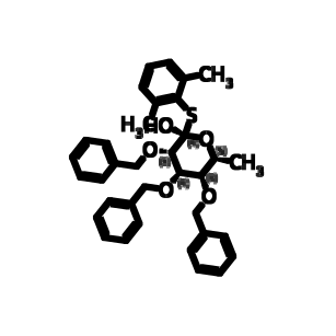 Cc1cccc(C)c1S[C@]1(O)O[C@@H](C)[C@@H](OCc2ccccc2)[C@@H](OCc2ccccc2)[C@@H]1OCc1ccccc1